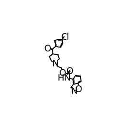 O=C(Nc1cccc2oncc12)OCCN1CCC(C(=O)c2ccc(Cl)cc2)CC1